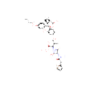 CCCCOc1ccc2c(c1)Oc1cc(OCC3=CSC4C(NC(=O)Cc5cccs5)C(=O)N4C3C(=O)O)ccc1C21OC(=O)c2ccccc21